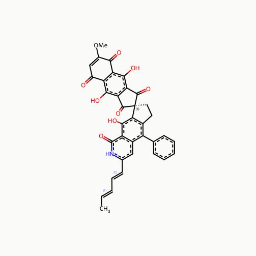 C/C=C/C=C/c1cc2c(-c3ccccc3)c3c(c(O)c2c(=O)[nH]1)[C@@]1(CC3)C(=O)c2c(O)c3c(c(O)c2C1=O)C(=O)C(OC)=CC3=O